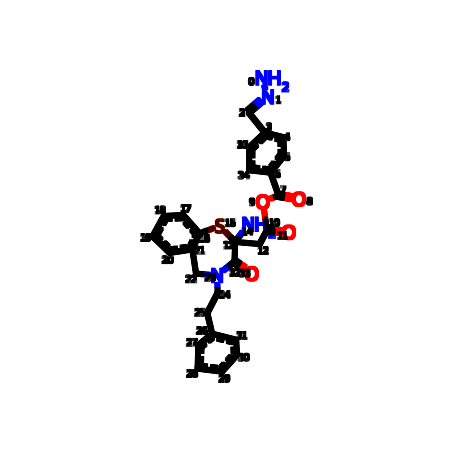 NN=Cc1ccc(C(=O)OC(=O)CC2(N)Sc3ccccc3CN(CCc3ccccc3)C2=O)cc1